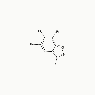 CC(C)c1cc2c(cnn2C)c(C(C)C)c1Br